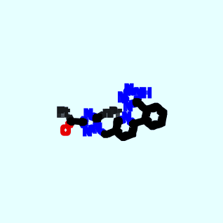 CCCc1nc(C(=O)CC)nn1Cc1ccc(-c2ccccc2-c2nnn[nH]2)nc1